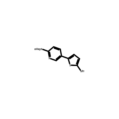 CCCCCCCc1ccc(-c2ccc(CCC)s2)cn1